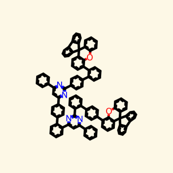 c1ccc(-c2cc(-c3ccc(-c4ccccc4-c4cc(-c5ccccc5)nc(-c5ccccc5-c5ccc(-c6cccc7c6Oc6ccccc6C76c7ccccc7-c7ccccc76)cc5)n4)cc3)nc(-c3ccc(-c4ccccc4-c4cccc5c4Oc4ccccc4C54c5ccccc5-c5ccccc54)cc3)n2)cc1